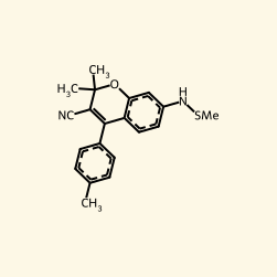 CSNc1ccc2c(c1)OC(C)(C)C(C#N)=C2c1ccc(C)cc1